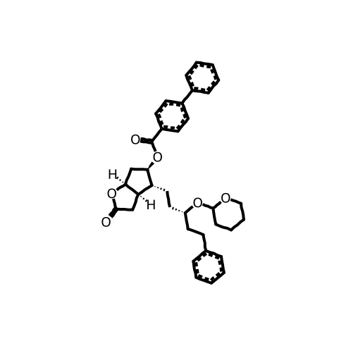 O=C1C[C@@H]2[C@@H](CC[C@@H](CCc3ccccc3)OC3CCCCO3)[C@H](OC(=O)c3ccc(-c4ccccc4)cc3)C[C@@H]2O1